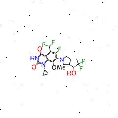 COc1c(N2CC3CC(F)(F)C(O)C3C2)c(F)c(C(F)F)c2c(=O)[nH]c(=O)n(C3CC3)c12